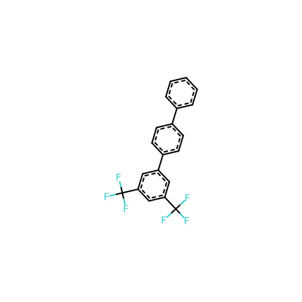 FC(F)(F)c1cc(-c2ccc(-c3ccccc3)cc2)cc(C(F)(F)F)c1